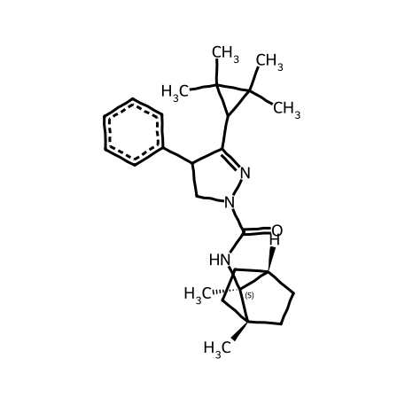 CC1(C)C(C2=NN(C(=O)N[C@@]3(C)[C@H]4CC[C@]3(C)CC4)CC2c2ccccc2)C1(C)C